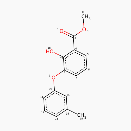 COC(=O)c1cccc(Oc2cccc(C)c2)c1O